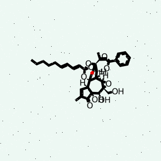 C=C(C)[C@@]12OC3(/C=C/C=C/CCCCC)O[C@@H]1[C@@H]1[C@@H]4O[C@]4(CO)[C@@H](O)[C@]4(O)C(=O)C(C)=C[C@H]4[C@@]1(O3)[C@H](C)[C@H]2OC(=O)c1ccccc1